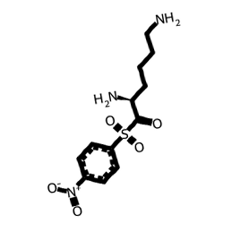 NCCCC[C@H](N)C(=O)S(=O)(=O)c1ccc([N+](=O)[O-])cc1